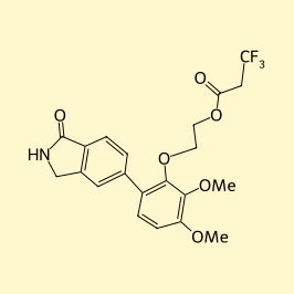 COc1ccc(-c2ccc3c(c2)CNC3=O)c(OCCOC(=O)CC(F)(F)F)c1OC